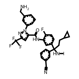 N#Cc1cccc(C(CCC2CC2)(NI)c2ccc(F)c(NC(=O)c3cc(C(F)(F)F)nn3-c3cccc(CN)c3)c2)c1